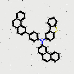 c1ccc2c(c1)ccc1ccc(-c3ccc(N(c4ccc5ccc6ccccc6c5c4)c4ccc5sc6ccccc6c5c4)cc3)cc12